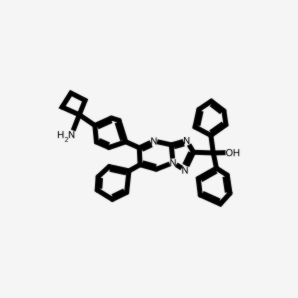 NC1(c2ccc(-c3nc4nc(C(O)(c5ccccc5)c5ccccc5)nn4cc3-c3ccccc3)cc2)CCC1